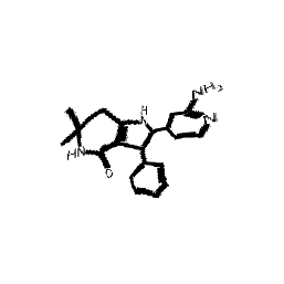 CC1(C)Cc2[nH]c(-c3ccnc(N)c3)c(-c3ccccc3)c2C(=O)N1